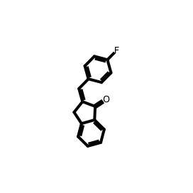 O=C1/C(=C\c2ccc(F)cc2)Cc2ccccc21